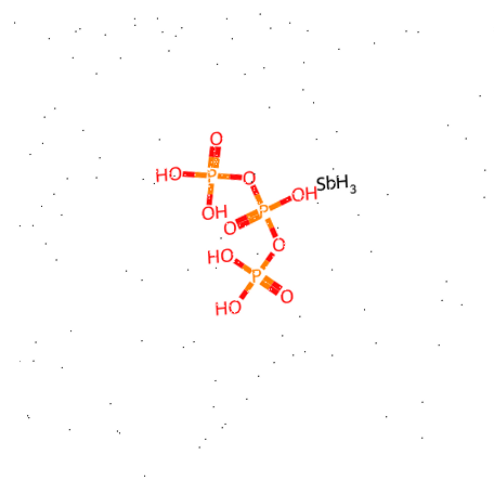 O=P(O)(O)OP(=O)(O)OP(=O)(O)O.[SbH3]